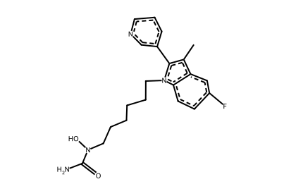 Cc1c(-c2cccnc2)n(CCCCCCN(O)C(N)=O)c2ccc(F)cc12